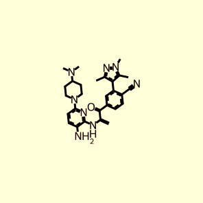 C=C(Nc1nc(N2CCC(N(C)C)CC2)ccc1N)C(=O)c1ccc(C#N)c(-c2c(C)nn(C)c2C)c1